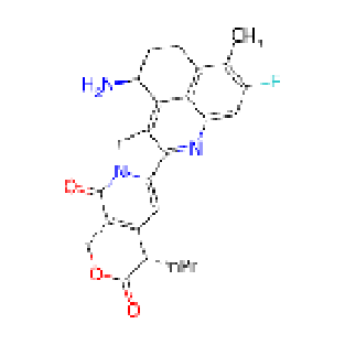 CCC[C@@H]1C(=O)OCc2c1cc1n(c2=O)Cc2c-1nc1cc(F)c(C)c3c1c2[C@@H](N)CC3